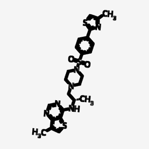 Cc1csc(-c2ccc(S(=O)(=O)N3CCN(C[C@H](C)Nc4ncnc5c(C)csc45)CC3)cc2)n1